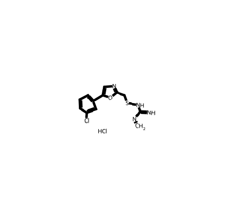 C=NC(=N)NSCc1ncc(-c2cccc(Cl)c2)o1.Cl